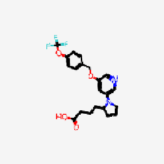 O=C(O)CCCC1CCCN1c1cncc(OCc2ccc(OC(F)(F)F)cc2)c1